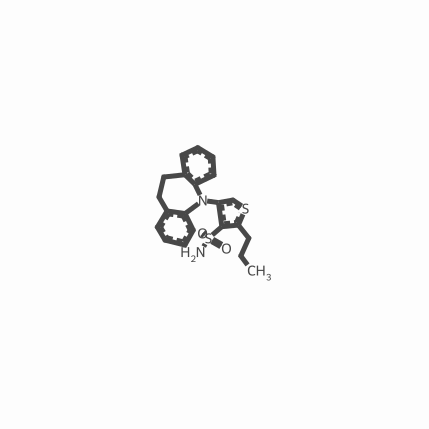 CCCc1scc(N2c3ccccc3CCc3ccccc32)c1S(N)(=O)=O